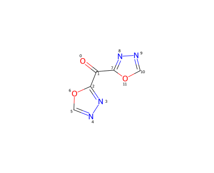 O=C(c1nnco1)c1nnco1